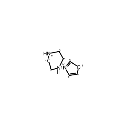 C1CNCCN1.c1cocn1